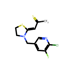 Fc1cc(CN2CCS/C2=C\C(=S)C(F)(F)F)cnc1Cl